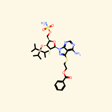 CC(C)[Si](O[C@H]1[C@@H](F)[C@H](n2nc(SCCOC(=O)c3ccccc3)c3c(N)ncnc32)O[C@@H]1COS(N)(=O)=O)(C(C)C)C(C)C